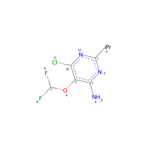 CC(C)c1nc(N)c(OC(F)F)c(Cl)n1